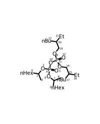 CCCCCCC(C)OP(=O)(OC(C)CCCCCC)OP(=O)(OCC(CC)CCCC)OCC(CC)CCCC